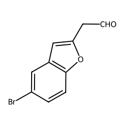 O=CCc1cc2cc(Br)ccc2o1